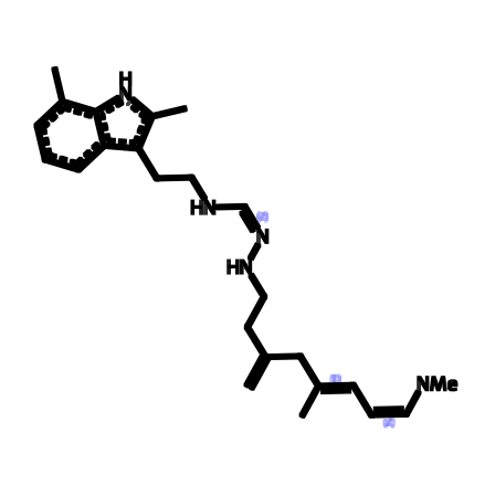 C=C(CCN/N=C\NCCc1c(C)[nH]c2c(C)cccc12)C/C(C)=C/C=C\NC